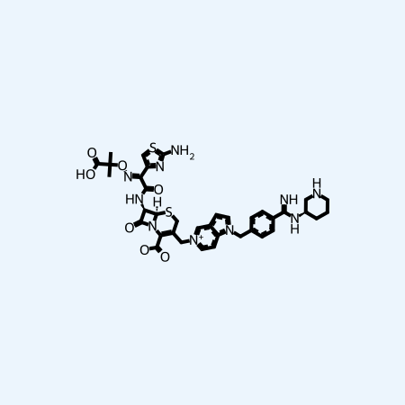 CC(C)(ON=C(C(=O)N[C@@H]1C(=O)N2C(C(=O)[O-])=C(C[n+]3ccc4c(ccn4Cc4ccc(C(=N)N[C@@H]5CCCNC5)cc4)c3)CS[C@H]12)c1csc(N)n1)C(=O)O